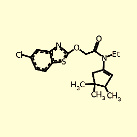 CCN(C(=O)COc1nc2cc(Cl)ccc2s1)C1=CC(C)C(C)(C)C1